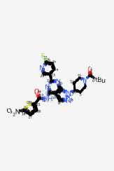 CC(C)(C)C(=O)N1CCC(n2ncc3c(NC(=O)c4ccc([N+](=O)[O-])s4)nc(-c4ccc(F)nc4)nc32)CC1